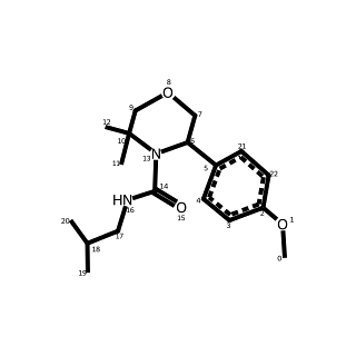 COc1ccc(C2COCC(C)(C)N2C(=O)NCC(C)C)cc1